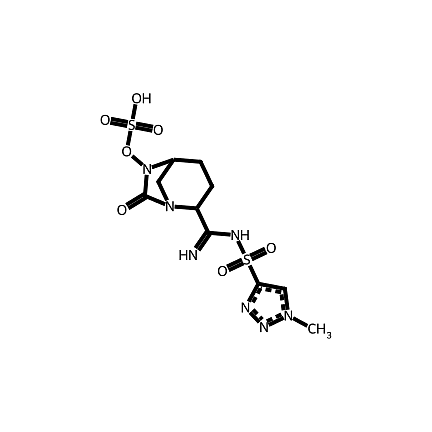 Cn1cc(S(=O)(=O)NC(=N)C2CCC3CN2C(=O)N3OS(=O)(=O)O)nn1